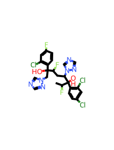 CC(F)C(O)(c1ccc(Cl)cc1Cl)C(CC(F)C(O)(Cn1cncn1)c1ccc(F)cc1Cl)n1cncn1